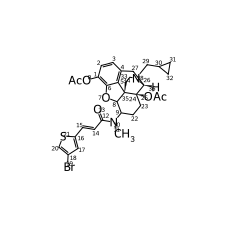 CC(=O)Oc1ccc2c3c1OC1C(N(C)C(=O)/C=C/c4cc(Br)cs4)CC[C@@]4(OC(C)=O)[C@@H](C2)N(CC2CC2)CC[C@]314